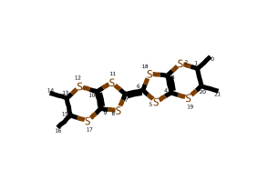 CC1SC2=C(SC(=C3SC4=C(S3)SC(C)C(C)S4)S2)SC1C